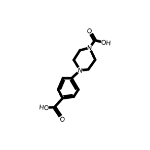 O=C(O)c1ccc(N2CCN(C(=O)O)CC2)cc1